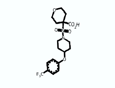 O=C(O)C1(S(=O)(=O)N2CCC(Oc3ccc(C(F)(F)F)cc3)CC2)CCOCC1